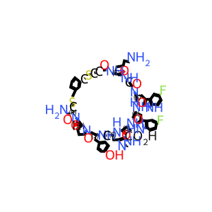 CN1C(=O)[C@@H]2CCCN2C(=O)[C@H](Cc2ccc(O)cc2)NC[C@H](Cc2c[nH]cn2)NC(=O)[C@H](CC(=O)O)NC(=O)[C@H](Cc2c[nH]c3ccc(F)cc23)NC(=O)[C@H](Cc2c[nH]c3ccc(F)cc23)NC(=O)CNC(=O)[C@H](CCCCN)NC(=O)CCSCc2cccc(c2)CSC[C@H]1C(N)=O